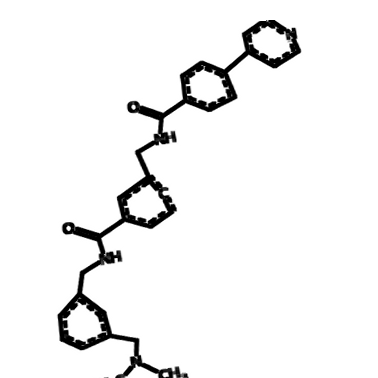 CN(C)Cc1cccc(CNC(=O)c2cccc(CNC(=O)c3ccc(-c4ccncc4)cc3)c2)c1